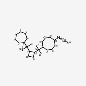 CCC(C)(C1CCCCCC1)C1CCC1C(C)(C)C1CCCC(N=C=S)CCC1